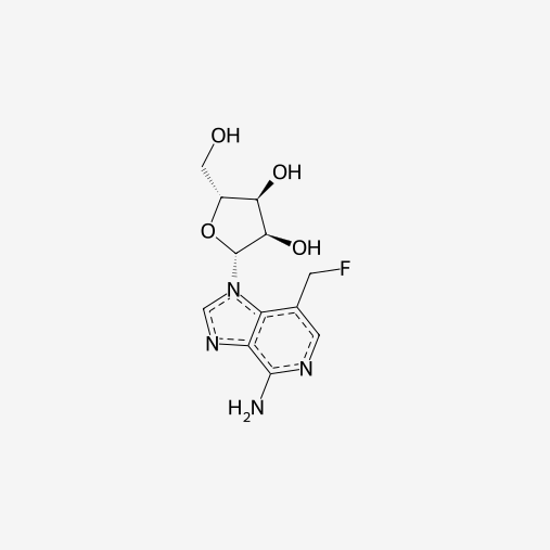 Nc1ncc(CF)c2c1ncn2[C@@H]1O[C@H](CO)[C@@H](O)[C@H]1O